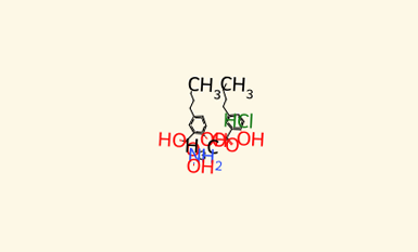 CCCCc1ccc(O)c(C(=O)O)c1.CCCCc1ccc(O)c(C(=O)OC)c1.Cl.NO